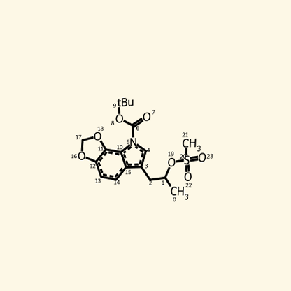 CC(Cc1cn(C(=O)OC(C)(C)C)c2c3c(ccc12)OCO3)OS(C)(=O)=O